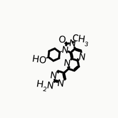 Cn1c(=O)n([C@H]2CC[C@H](O)CC2)c2c3nc(-c4cnc(N)nc4)ccc3ncc21